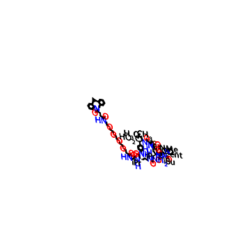 CCCCCON(C(=O)[C@@H](NC(=O)[C@H]1CCCCN1C)[C@@H](C)CC)[C@H](C[C@@H](OC(=O)NC)c1nc(C(=O)N[C@@H](Cc2ccc(NC(=O)[C@H](CCCNC(N)=O)NC(=O)[C@@H](NC(=O)CCOCCOCCOCCOCCNC(=O)CCC(=O)N3Cc4ccccc4C4=C(C4)c4ccccc43)C(C)C)cc2)CC(C)(C)C(=O)O)cs1)C(C)C